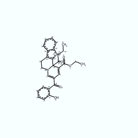 CCOC(=O)C1=CC(C(=O)c2ccccc2O)=CN2CCc3c([nH]c4ccccc34)C12C(=O)OCC